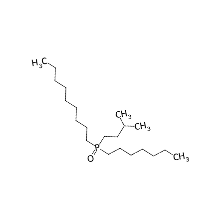 CCCCCCCCCP(=O)(CCCCCCC)CCC(C)C